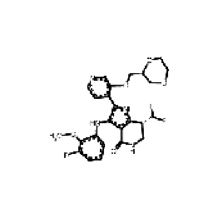 COc1c(F)cccc1Nc1c(-c2ccncc2OC[C@@H]2COCCO2)[nH]c2c1C(=O)NC[C@H]2C(F)F